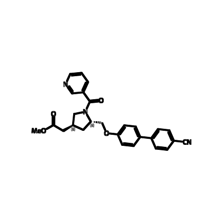 COC(=O)C[C@@H]1C[C@@H](COc2ccc(-c3ccc(C#N)cc3)cc2)N(C(=O)c2cccnc2)C1